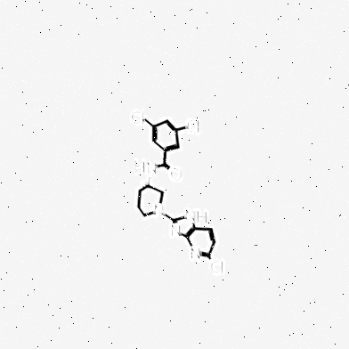 O=C(N[C@H]1CCCN(c2nc3nc(Cl)ccc3[nH]2)C1)c1cc(Cl)cc(Cl)c1